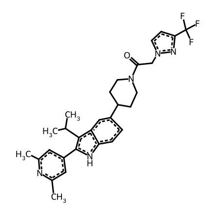 Cc1cc(-c2[nH]c3ccc(C4CCN(C(=O)Cn5ccc(C(F)(F)F)n5)CC4)cc3c2C(C)C)cc(C)n1